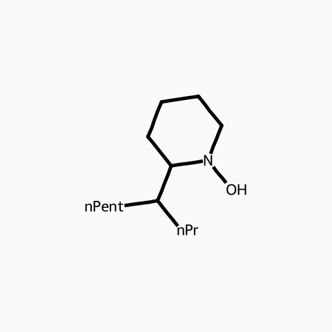 CCCCCC(CCC)C1CCCCN1O